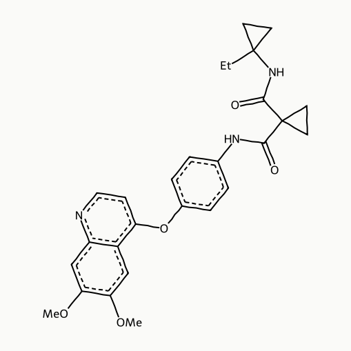 CCC1(NC(=O)C2(C(=O)Nc3ccc(Oc4ccnc5cc(OC)c(OC)cc45)cc3)CC2)CC1